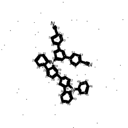 N#Cc1ccc(-c2cc(-c3ccc(C#N)cc3)cc(-n3c4ccccc4c4ccc(-c5ccc6c(c5)c5ccccc5n6-c5ccccc5)cc43)c2)cc1